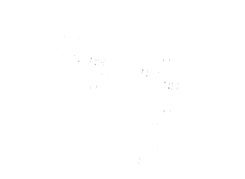 O=C(COc1cc(Oc2ccc(Cl)cc2)[nH]c(=O)n1)NC12CC3CC(CC(C3)C1)C2